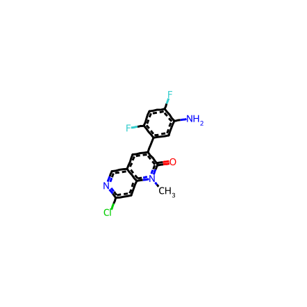 Cn1c(=O)c(-c2cc(N)c(F)cc2F)cc2cnc(Cl)cc21